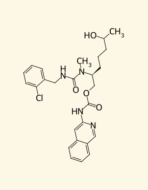 CC(O)CCC[C@@H](COC(=O)Nc1cc2ccccc2cn1)N(C)C(=O)NCc1ccccc1Cl